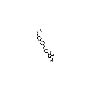 C=CCCC1CCC(C2CCC(COC3CCC(c4ccc(OCC)c(F)c4F)CC3)CC2)CC1